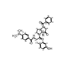 CN(C)c1ccc(C(=O)N[C@@H](Cc2ccc(O)cc2)C(=O)N2CCC3[C@H]2C(=O)CN3C(=O)c2ccccc2)cc1